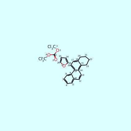 O=C(OC(Cl)(Cl)Cl)OC(Cl)(Cl)Cl.c1ccc2c(c1)ccc1c3c(ccc12)CCCC3.c1ccoc1